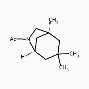 CC(=O)N1C[C@]2(C)C[C@H]1CC(C)(C)C2